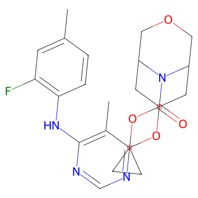 Cc1ccc(Nc2ncnc(OC3CC4COCC(C3)N4C(=O)OC3CC3)c2C)c(F)c1